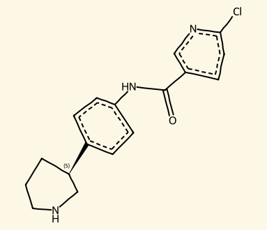 O=C(Nc1ccc([C@@H]2CCCNC2)cc1)c1ccc(Cl)nc1